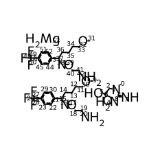 CN(CC(=O)O)C(=N)N.COCCCC/C(=N\OCCN)c1ccc(C(F)(F)F)cc1.COCCCC/C(=N\OCCN)c1ccc(C(F)(F)F)cc1.[MgH2]